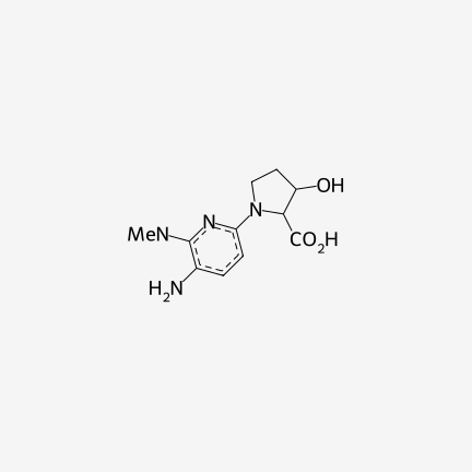 CNc1nc(N2CCC(O)C2C(=O)O)ccc1N